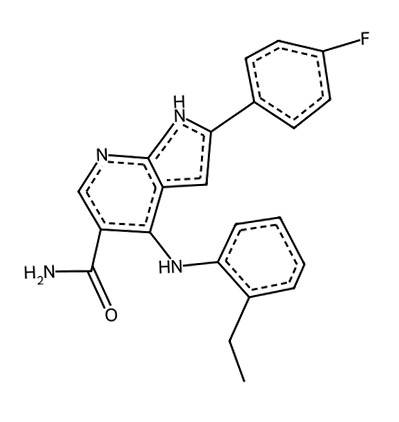 CCc1ccccc1Nc1c(C(N)=O)cnc2[nH]c(-c3ccc(F)cc3)cc12